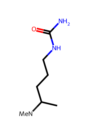 CNC(C)CCCNC(N)=O